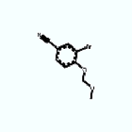 COCOc1ccc(C#N)cc1Br